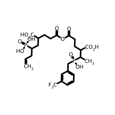 C=CCC(CC(CCC(=O)OC(=O)CCC(C(=O)O)C(C)P(=O)(O)Cc1cccc(C(F)(F)F)c1)C(=O)O)P(=O)(O)O